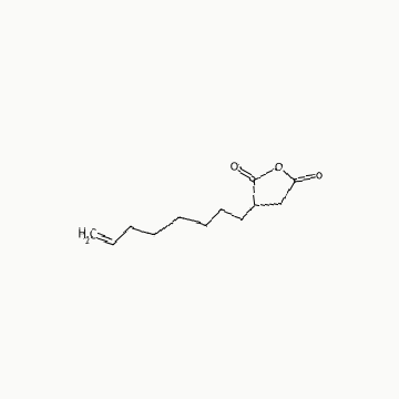 C=CCCCCCCC1CC(=O)OC1=O